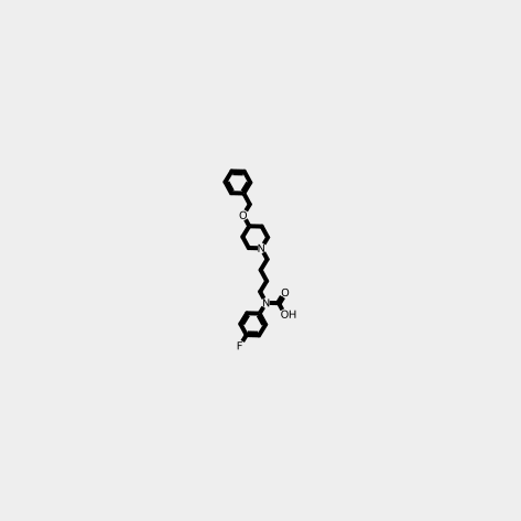 O=C(O)N(CCCCN1CCC(OCc2ccccc2)CC1)c1ccc(F)cc1